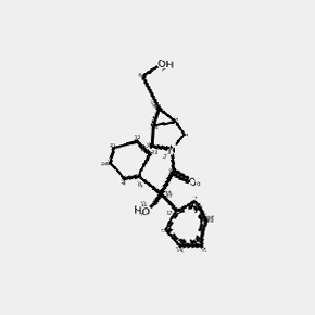 O=C(N1CC2C(CO)C2C1)C(O)(c1ccccc1)C1CCCCC1